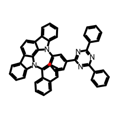 c1ccc(-c2nc(-c3ccccc3)nc(-c3cccc(-n4c5ccccc5c5ccc6c7ccccc7n(-c7cccc8ccccc78)c6c54)c3)n2)cc1